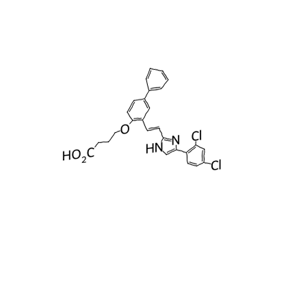 O=C(O)CCCOc1ccc(-c2ccccc2)cc1C=Cc1nc(-c2ccc(Cl)cc2Cl)c[nH]1